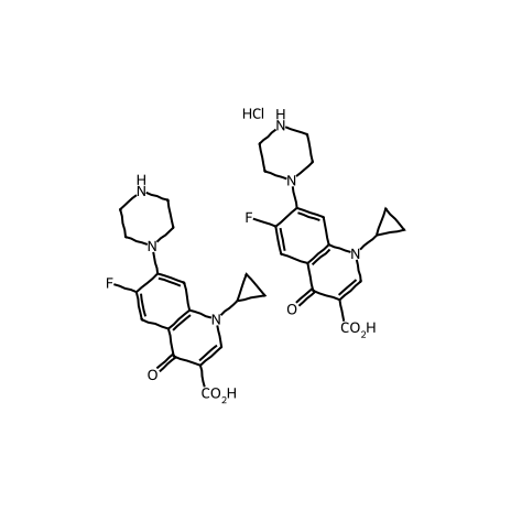 Cl.O=C(O)c1cn(C2CC2)c2cc(N3CCNCC3)c(F)cc2c1=O.O=C(O)c1cn(C2CC2)c2cc(N3CCNCC3)c(F)cc2c1=O